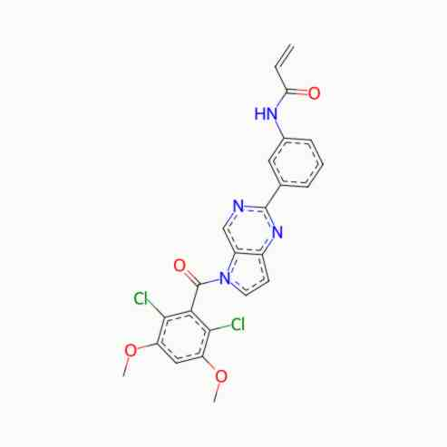 C=CC(=O)Nc1cccc(-c2ncc3c(ccn3C(=O)c3c(Cl)c(OC)cc(OC)c3Cl)n2)c1